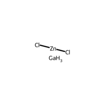 [Cl][Zn][Cl].[GaH3]